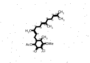 COC1=C(Cl)C(=O)C(OC(C)=O)C(C/C=C(\C)CC/C=C(\C)CCC=C(C)C)C1C